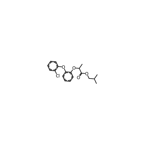 CC(C)COC(=O)C(C)Oc1ccccc1Oc1ccccc1Cl